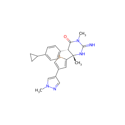 CN1C(=N)N[C@](C)(c2cc(-c3cnn(C)c3)cs2)[C@H](c2ccc(C3CC3)cc2)C1=O